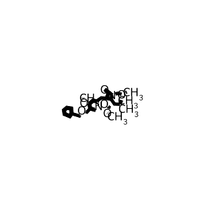 COCOC1(Cc2cc(OC)c(COCc3ccccc3)cn2)C(=O)N(COC)C1CC(C)C